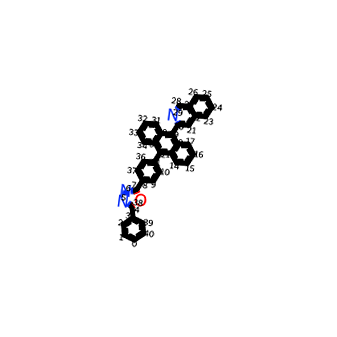 c1ccc(-c2nnc(-c3ccc(-c4c5ccccc5c(-c5cc6ccccc6cn5)c5ccccc45)cc3)o2)cc1